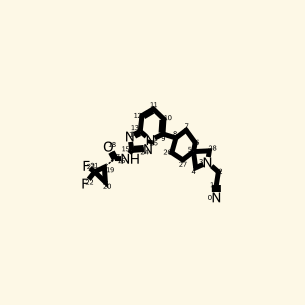 N#CCN1CC2(CCC(c3cccc4nc(NC(=O)[C@@H]5CC5(F)F)nn34)CC2)C1